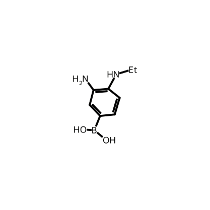 CCNc1ccc(B(O)O)cc1N